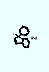 I.I.[Ti][C]1(c2ccccc2)C=Cc2ccccc21